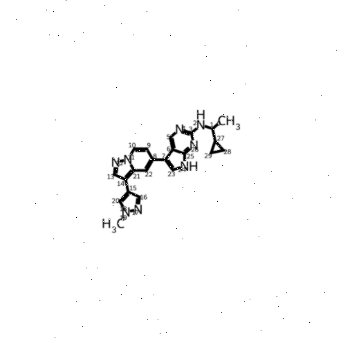 CC(Nc1ncc2c(-c3ccn4ncc(-c5cnn(C)c5)c4c3)c[nH]c2n1)C1CC1